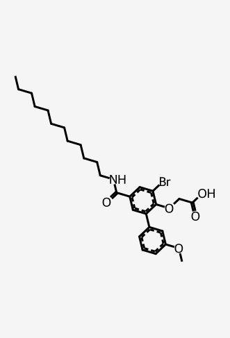 CCCCCCCCCCCCNC(=O)c1cc(Br)c(OCC(=O)O)c(-c2cccc(OC)c2)c1